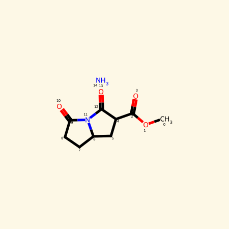 COC(=O)C1CC2CCC(=O)N2C1=O.N